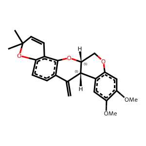 C=C1c2ccc3c(c2O[C@@H]2COc4cc(OC)c(OC)cc4[C@H]12)C=CC(C)(C)O3